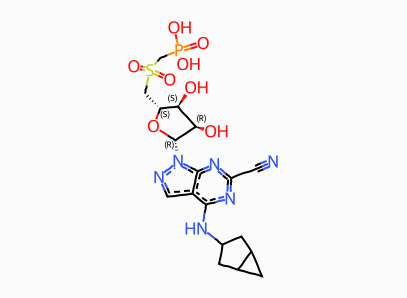 N#Cc1nc(NC2CC3CC3C2)c2cnn([C@@H]3O[C@H](CS(=O)(=O)CP(=O)(O)O)[C@@H](O)[C@H]3O)c2n1